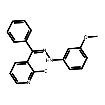 COc1cccc(NN=C(c2ccccc2)c2cccnc2Cl)c1